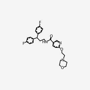 O=C(NCCC(c1ccc(F)cc1)c1ccc(F)cc1)c1ccc(OCCN2CCOCC2)nc1